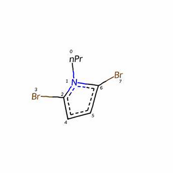 CCCn1c(Br)ccc1Br